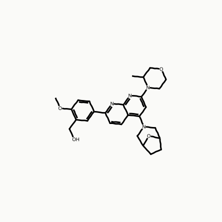 COc1ccc(-c2ccc3c(N4CC5CCC(C4)O5)cc(N4CCOCC4C)nc3n2)cc1CO